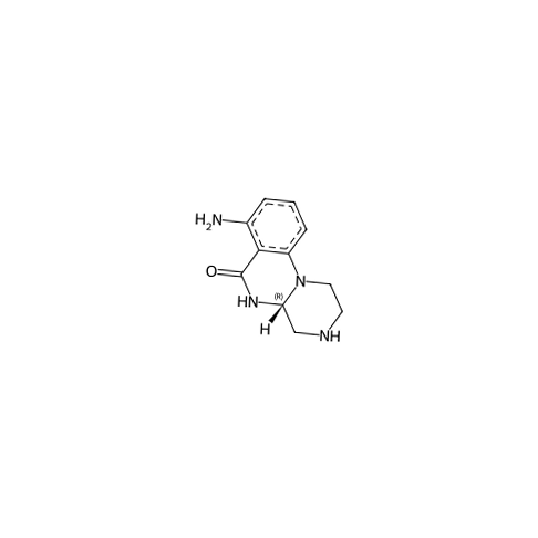 Nc1cccc2c1C(=O)N[C@H]1CNCCN21